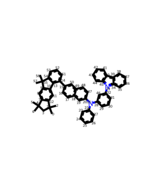 CC1(C)CC(C)(C)c2cc3c(cc21)-c1c(-c2ccc4cc(N(c5ccccc5)c5cccc(-n6c7ccccc7c7ccccc76)c5)ccc4c2)cccc1C3(C)C